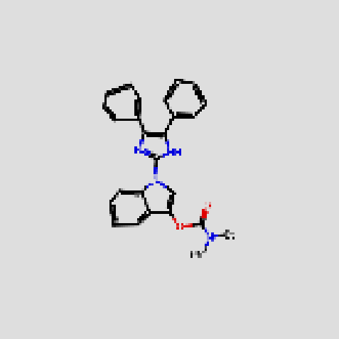 CCN(C(=O)Oc1cn(-c2nc(-c3ccccc3)c(-c3ccccc3)[nH]2)c2ccccc12)C(C)(C)C